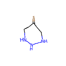 S=C1CNNNC1